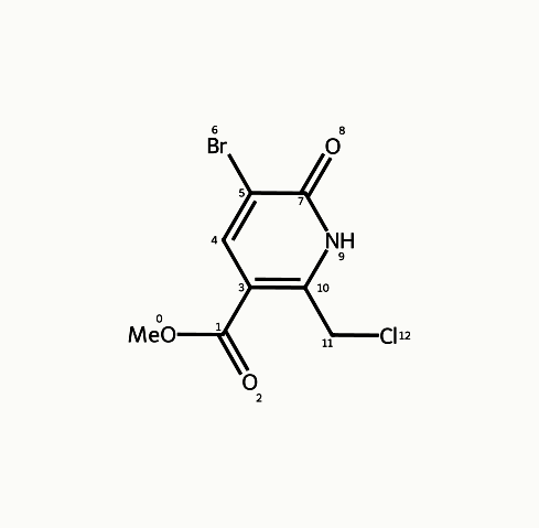 COC(=O)c1cc(Br)c(=O)[nH]c1CCl